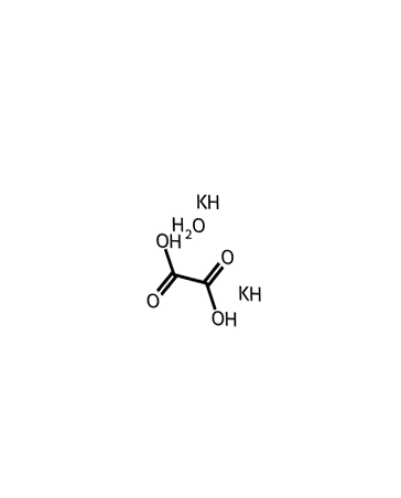 O.O=C(O)C(=O)O.[KH].[KH]